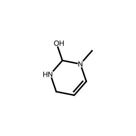 CN1C=CCNC1O